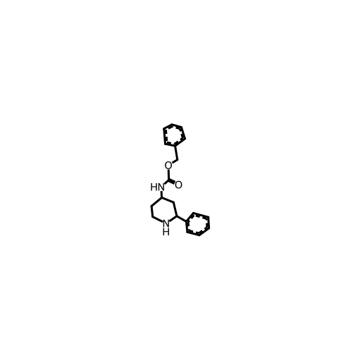 O=C(NC1CCNC(c2ccccc2)C1)OCc1ccccc1